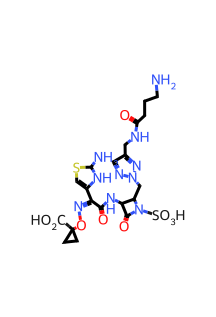 NCCCC(=O)NCc1cnn(CC2C(NC(=O)/C(=N\OC3(C(=O)O)CC3)C3=CSC(N)N3)C(=O)N2S(=O)(=O)O)n1